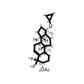 CC(=O)O[C@H]1CC[C@@]2(C)C(=CC[C@H]3[C@@H]4CC[C@H](OC5CC5)[C@@]4(C)CC[C@@H]32)C1(F)F